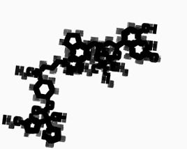 Cc1ccc([C@](O)(C(=O)O[C@H]2CC[C@H](N(C)CCCn3nnc4cc(CNC[C@H](O[Si](C)(C)C(C)(C)C)c5ccc(O)c6[nH]c(=O)ccc56)c5c(c43)CCC5)CC2)c2cccs2)s1